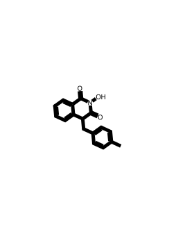 Cc1ccc(CC2C(=O)N(O)C(=O)c3ccccc32)cc1